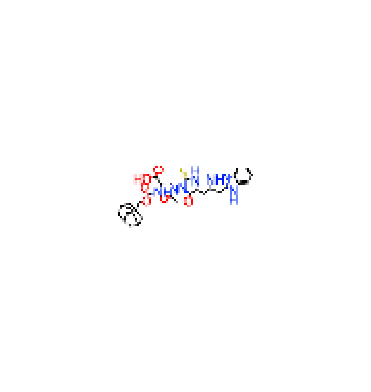 CC(=O)N(C[C@H](NC(=O)OCC12CC3CC(CC(C3)C1)C2)C(=O)O)N1C(=O)[C@H](CC(N)Cc2nc3ccccc3[nH]2)NC1=S